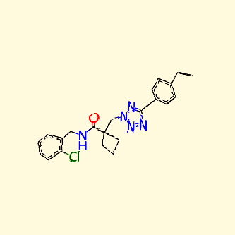 CCc1ccc(-c2nnn(CC3(C(=O)NCc4ccccc4Cl)CCC3)n2)cc1